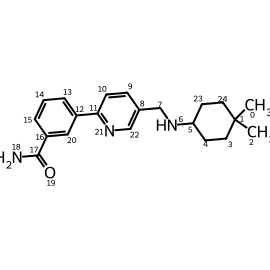 CC1(C)CCC(NCc2ccc(-c3cccc(C(N)=O)c3)nc2)CC1